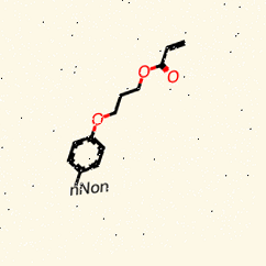 C=CC(=O)OCCCOc1ccc(CCCCCCCCC)cc1